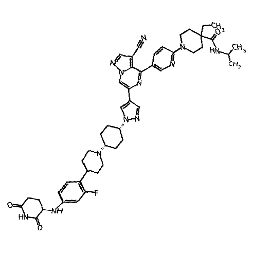 CCC1(C(=O)NC(C)C)CCN(c2ccc(-c3nc(-c4cnn([C@H]5CC[C@@H](N6CCC(c7ccc(NC8CCC(=O)NC8=O)cc7F)CC6)CC5)c4)cn4ncc(C#N)c34)cn2)CC1